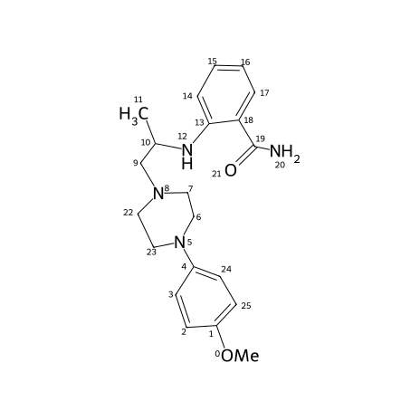 COc1ccc(N2CCN(CC(C)Nc3ccccc3C(N)=O)CC2)cc1